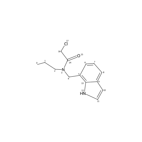 CCCN(Cc1cccc2cc[nH]c12)C(=O)CCl